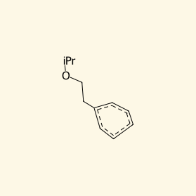 CC(C)OCCc1ccccc1